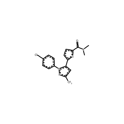 CN(C)C(=O)c1ccc(-c2cc(C(F)(F)F)nn2-c2ccc(Cl)cc2)s1